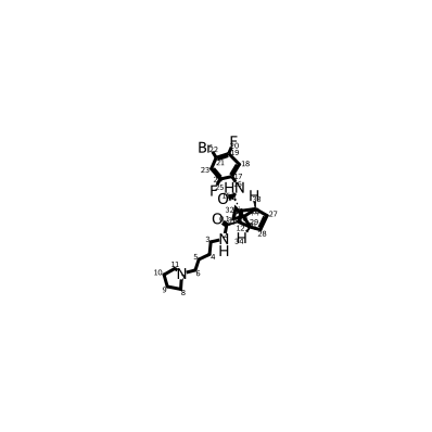 O=C(NCCCCN1CCCC1)[C@H]1[C@H](C(=O)Nc2cc(F)c(Br)cc2F)[C@@H]2C=C[C@H]1C21CC1